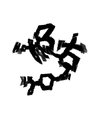 CN(c1ncccc1CNc1nc(NC2CCN(C(N)=O)CC2)ncc1C(F)(F)F)S(C)(=O)=O